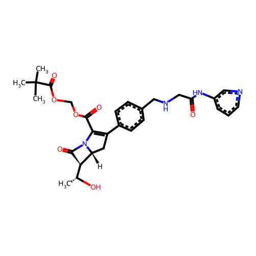 C[C@@H](O)[C@H]1C(=O)N2C(C(=O)OCOC(=O)C(C)(C)C)=C(c3ccc(CNCC(=O)Nc4cccnc4)cc3)C[C@H]12